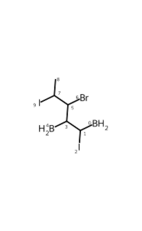 BC(I)C(B)C(Br)C(C)I